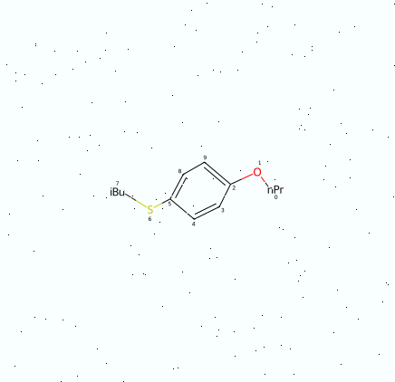 C[CH]COc1ccc(SC(C)CC)cc1